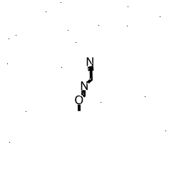 COC=NCC#N